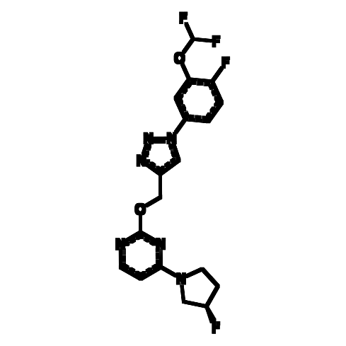 Fc1ccc(-n2cc(COc3nccc(N4CC[C@@H](F)C4)n3)nn2)cc1OC(F)F